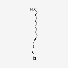 CCCCCCCCCCC#CCCCCCCl